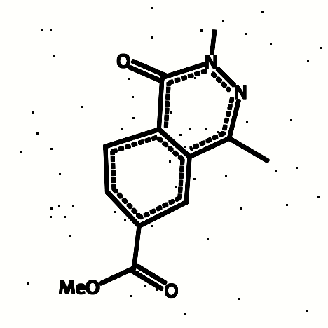 COC(=O)c1ccc2c(=O)n(C)nc(C)c2c1